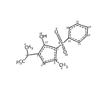 CC(C)c1nn(C)c(S(=O)(=O)c2ccccc2)c1O